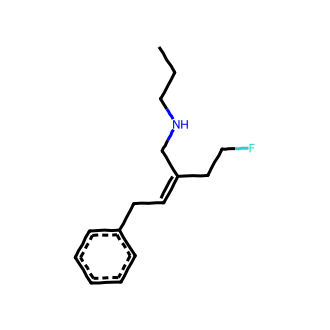 CCCNC/C(=C\Cc1ccccc1)CCF